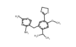 COc1cc(C(C)C)c(Cc2cnc(N)nc2N)cc1C1=NCCO1